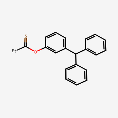 CCC(=S)Oc1cccc(C(c2ccccc2)c2ccccc2)c1